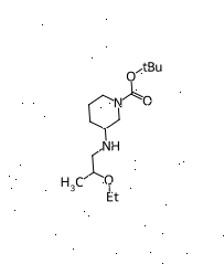 CCOC(C)CNC1CCCN(C(=O)OC(C)(C)C)C1